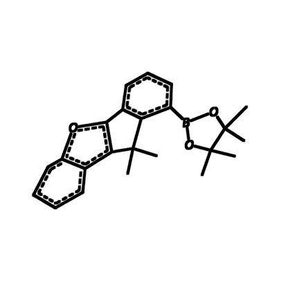 CC1(C)c2c(B3OC(C)(C)C(C)(C)O3)cccc2-c2oc3ccccc3c21